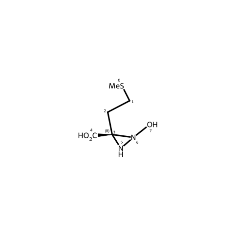 CSCC[C@@]1(C(=O)O)NN1O